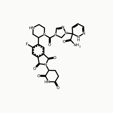 NC(=O)C1(N2CN(C(=O)N3CCNCC3c3cc4c(cc3F)C(=O)N(C3CCC(=O)NC3=O)C4=O)C=N2)C=CC=NN1